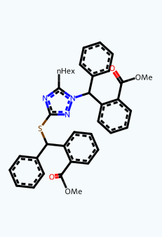 CCCCCCc1nc(SC(c2ccccc2)c2ccccc2C(=O)OC)nn1C(c1ccccc1)c1ccccc1C(=O)OC